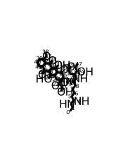 CCNC(=N)CCCCC(=N)NC1CC(O[C@H]2C[C@](O)(C(=O)CO)Cc3c(O)c4c(c(O)c32)C(=O)c2c(OC)cccc2C4=O)OC(C)C1O